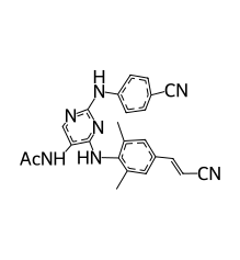 CC(=O)Nc1cnc(Nc2ccc(C#N)cc2)nc1Nc1c(C)cc(/C=C/C#N)cc1C